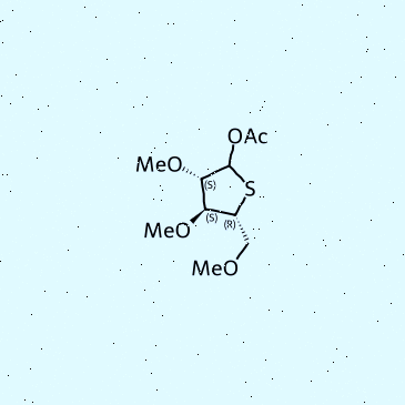 COC[C@H]1SC(OC(C)=O)[C@@H](OC)[C@@H]1OC